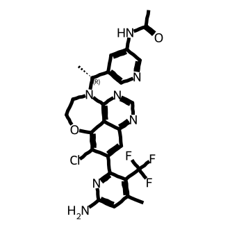 CC(=O)Nc1cncc([C@@H](C)N2CCOc3c(Cl)c(-c4nc(N)cc(C)c4C(F)(F)F)cc4ncnc2c34)c1